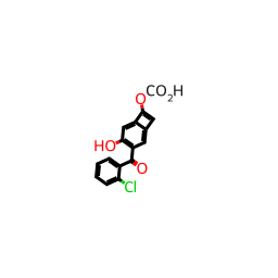 O=C(O)OC1=Cc2cc(C(=O)c3ccccc3Cl)c(O)cc21